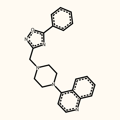 c1ccc(-c2nc(CN3CCN(c4ccnc5ccccc45)CC3)no2)cc1